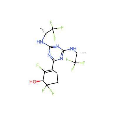 C[C@@H](Nc1nc(N[C@H](C)C(F)(F)F)nc(C2=C(F)[C@H](O)C(F)(F)CC2)n1)C(F)(F)F